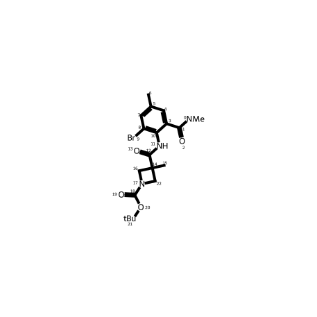 CNC(=O)c1cc(C)cc(Br)c1NC(=O)C1(C)CN(C(=O)OC(C)(C)C)C1